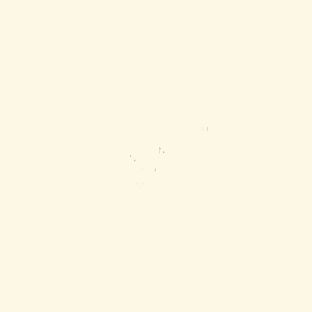 C[C@@H](NC(=O)OC(C)(C)C)C(=O)NC1CC1